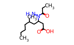 CCCCC(C)CC(CC(=O)O)N(N)C(=O)CC